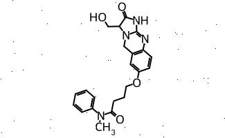 CN(C(=O)CCCOc1ccc2c(c1)CN1C(=N2)NC(=O)C1CO)c1ccccc1